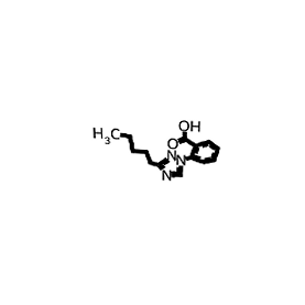 CCCCCc1ncn(-c2ccccc2C(=O)O)n1